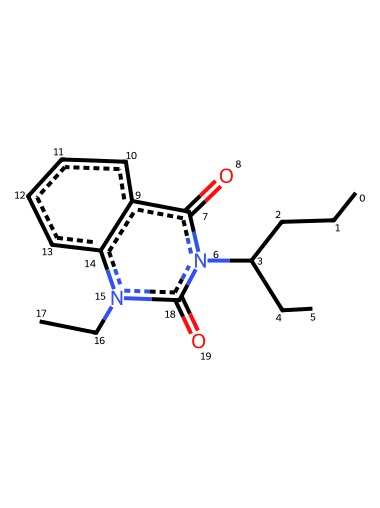 CCCC(CC)n1c(=O)c2ccccc2n(CC)c1=O